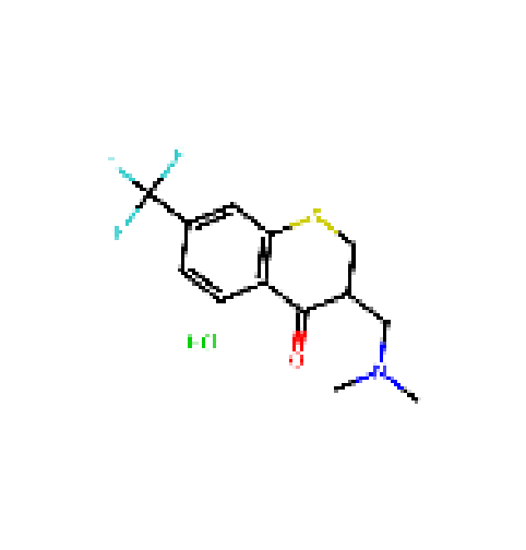 CN(C)CC1CSc2cc(C(F)(F)F)ccc2C1=O.Cl